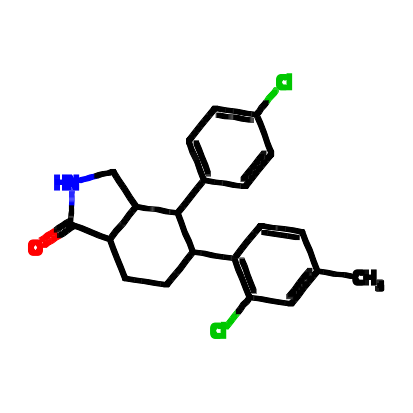 Cc1ccc(C2CCC3C(=O)NCC3C2c2ccc(Cl)cc2)c(Cl)c1